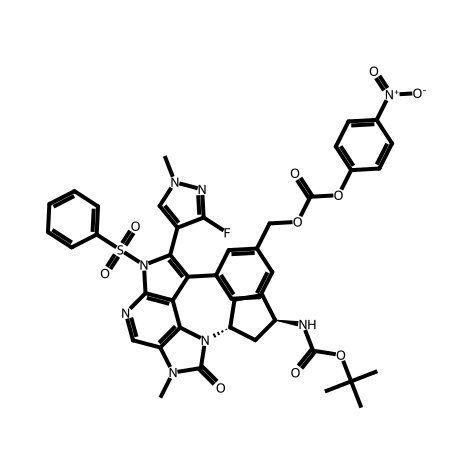 Cn1cc(-c2c(-c3cccc(COC(=O)Oc4ccc([N+](=O)[O-])cc4)c3)c3c(ncc4c3n([C@@H]3CC[C@@H](NC(=O)OC(C)(C)C)C3)c(=O)n4C)n2S(=O)(=O)c2ccccc2)c(F)n1